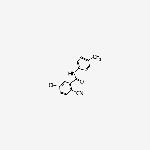 N#Cc1ccc(Cl)cc1C(=O)Nc1ccc(C(F)(F)F)cc1